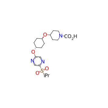 CC(C)S(=O)(=O)c1cnc(O[C@H]2CC[C@H](OC3CCN(C(=O)O)CC3)CC2)cn1